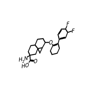 NC1(C(=O)O)CCC2CCC(OC3=C(C4=CC(F)C(F)C=C4)CCCC3)C3CC23C1